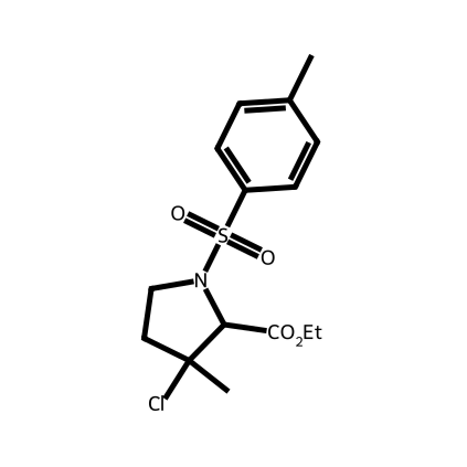 CCOC(=O)C1N(S(=O)(=O)c2ccc(C)cc2)CCC1(C)Cl